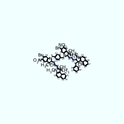 C[N+]1=C(/C=C/C=C2/N(Cc3ccc(CN4/C(=C/C=C/C5=[N+](C)c6ccc7ccccc7c6C5(C)Cc5ccccc5)C(C)(C)c5cc([N+](=O)[O-])c(Br)cc54)cc3)c3cc(Br)c([N+](=O)[O-])cc3C2(C)C)C(C)(C)c2c1ccc1ccccc21